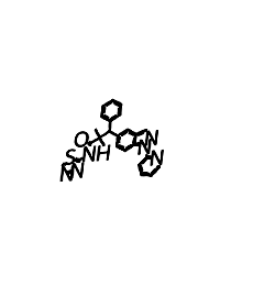 CC(C)(C(=O)Nc1nncs1)C(c1ccccc1)c1ccc2c(cnn2-c2ccccn2)c1